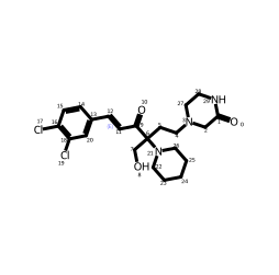 O=C1CN(CCC(CO)(C(=O)/C=C/c2ccc(Cl)c(Cl)c2)N2CCCCC2)CCN1